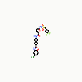 O=C(NC1CC2(C1)CC(c1nc3cc(Cl)ccc3o1)C2)c1ccc(NS(=O)(=O)CC2CC(F)(F)C2)o1